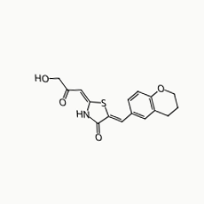 O=C(/C=c1\[nH]c(=O)/c(=C/c2ccc3c(c2)CCCO3)s1)CO